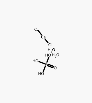 O.O.O=P(O)(O)O.[Cl][Ca][Cl]